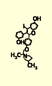 C[C@@H]1CCN([C@@H](C)COc2ccc(C3Oc4ccc(O)cc4C(I)=C3c3cccc(O)c3)cc2)C1